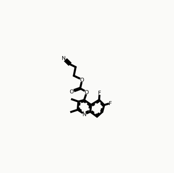 Cc1nc2ccc(F)c(F)c2c(OC(=O)OCCC#N)c1C